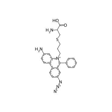 [N-]=[N+]=Nc1ccc2c(c1)c(-c1ccccc1)[n+](CCCSCC(N)C(=O)O)c1cc(N)ccc21